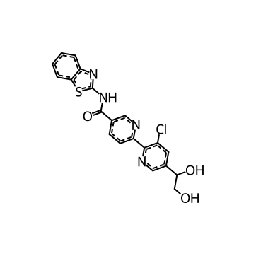 O=C(Nc1nc2ccccc2s1)c1ccc(-c2ncc(C(O)CO)cc2Cl)nc1